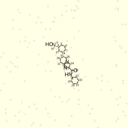 CC(C)(O)c1cccc(-c2ccc3nc(C(=O)Nc4ccccc4)cn3c2)c1